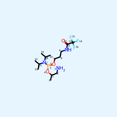 CC(CN)OP(OCCCNC(=O)C(F)(F)F)N(C(C)C)C(C)C